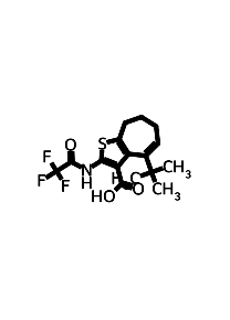 CC(C)(C)C1=CCCCc2sc(NC(=O)C(F)(F)F)c(C(=O)O)c21